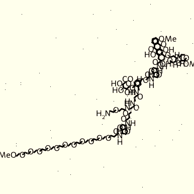 COCCOCCOCCOCCOCCOCCOCCOCCOCCOCCOCCOCCC(=O)N[C@H]1CO[C@H]2[C@@H]1OC[C@@H]2NC(=O)CCC[C@H](NC(=O)CCOCCN)C(=O)NCCC(=O)NCc1cc(COC(=O)N[C@H]2CO[C@H]3[C@@H]2OC[C@@H]3NC(=O)[C@]2(O)Cc3c(O)c4c(c(O)c3[C@@H](O[C@H]3C[C@H]5[C@H](O[C@@H]6[C@@H](OC)OCCN65)[C@H](C)O3)C2)C(=O)c2c(OC)cccc2C4=O)ccc1O[C@@H]1O[C@H](C(=O)O)[C@@H](O)[C@H](O)[C@H]1O